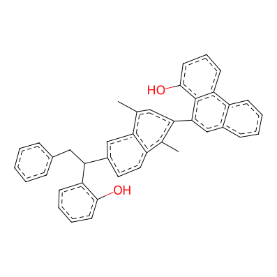 Cc1cc(-c2cc3ccccc3c3cccc(O)c23)c(C)c2ccc(C(Cc3ccccc3)c3ccccc3O)cc12